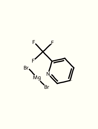 FC(F)(F)c1cc[c]cn1.[Br][Mg][Br]